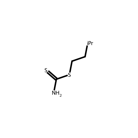 CC(C)CCSC(N)=S